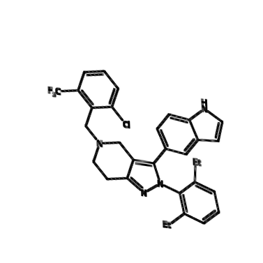 CCc1cccc(CC)c1-n1nc2c(c1-c1ccc3[nH]ccc3c1)CN(Cc1c(Cl)cccc1C(F)(F)F)CC2